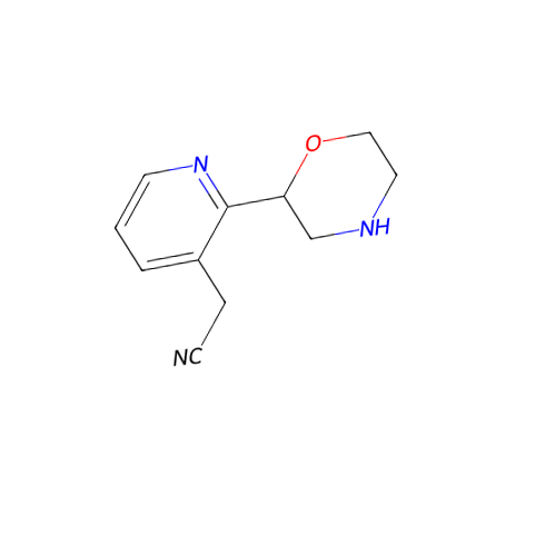 N#CCc1cccnc1C1CNCCO1